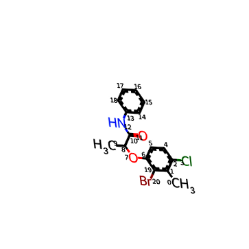 Cc1c(Cl)ccc(OC(C)C(=O)Nc2ccccc2)c1Br